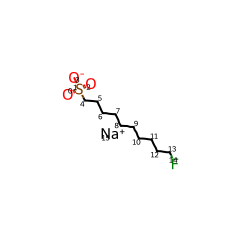 O=S(=O)([O-])CCCCCCCCCCF.[Na+]